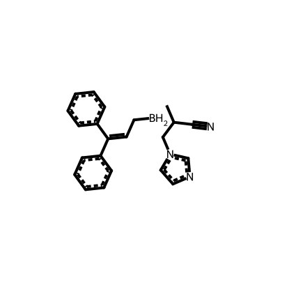 BCC=C(c1ccccc1)c1ccccc1.CC(C#N)Cn1ccnc1